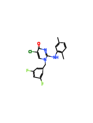 Cc1ccc(C)c(Nc2nc(=O)c(Cl)cn2Cc2cc(F)cc(F)c2)c1